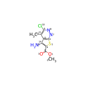 COC(=O)c1sc2nnc(Cl)c(C)c2c1N